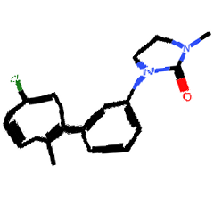 Cc1ccc(Cl)cc1-c1cccc(N2CCN(C)C2=O)c1